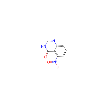 O=c1[nH]cnc2cccc([N+](=O)[O-])c12